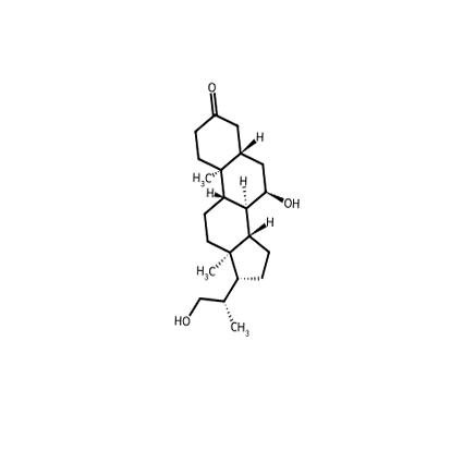 C[C@H](CO)[C@H]1CC[C@H]2[C@@H]3[C@H](O)C[C@H]4CC(=O)CC[C@]4(C)[C@H]3CC[C@]12C